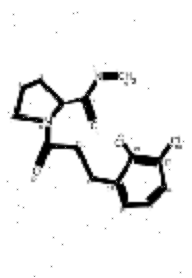 C=NC(=O)[C@@H]1CCCN1C(=O)CCc1cccc(Cl)c1Cl